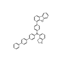 c1ccc(-c2ccc(-c3ccc(N(c4ccc(-c5cccc6c5oc5ccccc56)cc4)c4cccc5c4CCS5)cc3)cc2)cc1